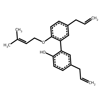 C=CCc1ccc(O)c(-c2cc(CC=C)ccc2OCC=C(C)C)c1